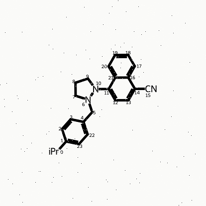 CC(C)c1ccc(CN2CCCN2c2ccc(C#N)c3ccccc23)cc1